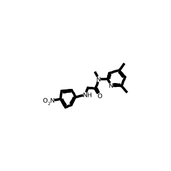 Cc1cc(C)nc(N(C)C(=O)CNc2ccc([N+](=O)[O-])cc2)c1